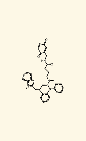 CN(CCCC(=O)NCC1=CC(=O)C=CC1=O)C1=C/C(=C\c2sc3ccccc3[n+]2C)c2ccccc2N1c1ccccc1